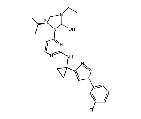 CCN1C[C@H](C(C)C)N(c2ccnc(NC3(c4cn(-c5cccc(Cl)c5)cn4)CC3)n2)C1O